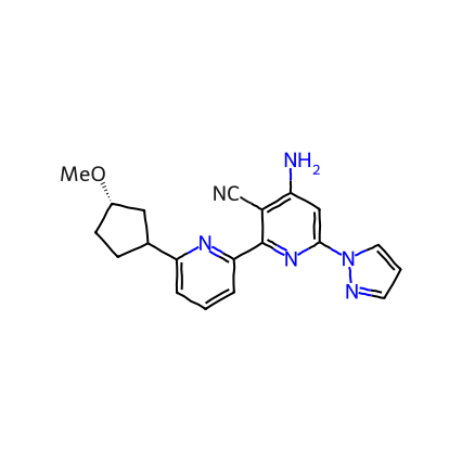 CO[C@H]1CCC(c2cccc(-c3nc(-n4cccn4)cc(N)c3C#N)n2)C1